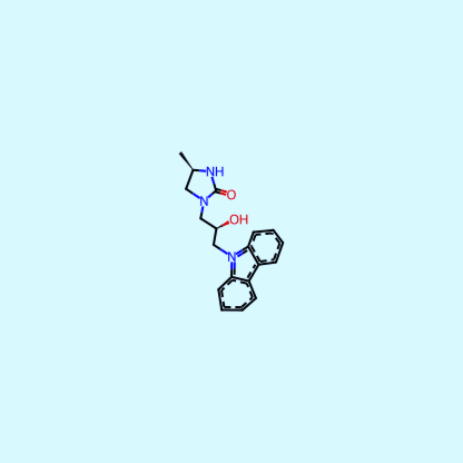 C[C@@H]1CN(C[C@@H](O)Cn2c3ccccc3c3ccccc32)C(=O)N1